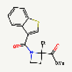 CCC1(C(=O)OC)CCN1C(=O)c1csc2ccccc12